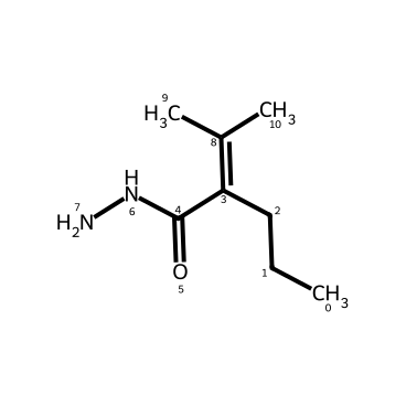 CCCC(C(=O)NN)=C(C)C